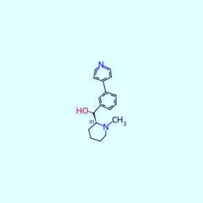 CN1CCCC[C@H]1C(O)c1cccc(-c2ccncc2)c1